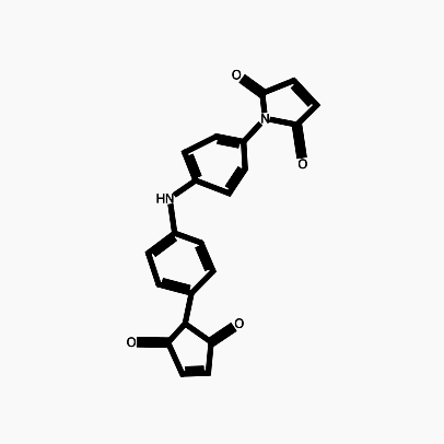 O=C1C=CC(=O)C1c1ccc(Nc2ccc(N3C(=O)C=CC3=O)cc2)cc1